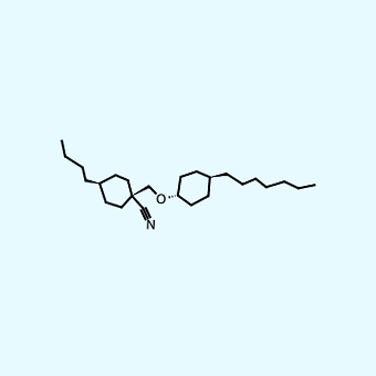 CCCCCCC[C@H]1CC[C@H](OC[C@]2(C#N)CC[C@H](CCCC)CC2)CC1